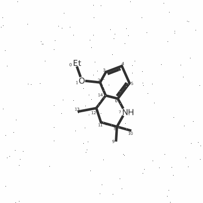 CCOC1C=CC=C2NC(C)(C)CC(C)C21